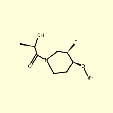 CC(C)O[C@H]1CCN(C(=O)[C@@H](C)O)C[C@H]1F